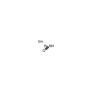 [O]=[AlH].[Pr].[Sm]